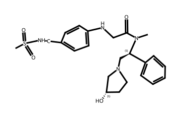 CN(C(=O)CNc1ccc(CNS(C)(=O)=O)cc1)[C@H](CN1CC[C@H](O)C1)c1ccccc1